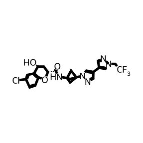 O=C(NC12CC(n3cc(-c4cnn(CC(F)(F)F)c4)cn3)(C1)C2)[C@H]1C[C@@H](O)c2cc(Cl)ccc2O1